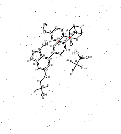 CC(C)Oc1ccc(C(=O)N2C3CC2CN(c2ccc(-c4cc(OCC(C)(C)O)cn5ncc(C#N)c45)cn2)C3)cc1.O=C(O)C(F)(F)F